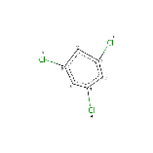 Clc1[c]c(Cl)cc(Cl)c1